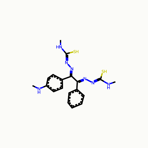 CN/C(S)=N/N=C(/C(=N/N=C(\S)NC)c1ccc(NC)cc1)c1ccccc1